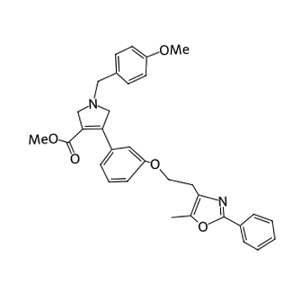 COC(=O)C1=C(c2cccc(OCCc3nc(-c4ccccc4)oc3C)c2)CN(Cc2ccc(OC)cc2)C1